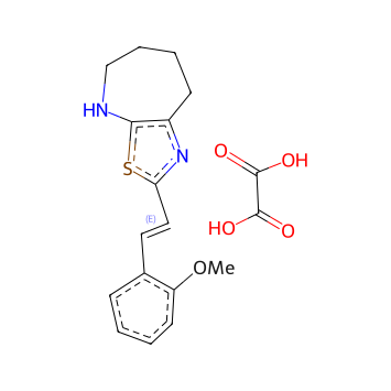 COc1ccccc1/C=C/c1nc2c(s1)NCCCC2.O=C(O)C(=O)O